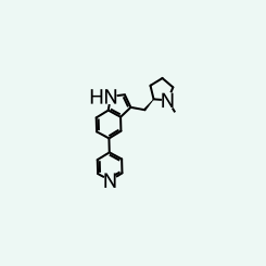 CN1CCC[C@@H]1Cc1c[nH]c2ccc(-c3ccncc3)cc12